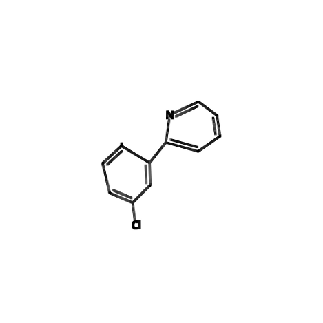 Clc1cc[c]c(-c2ccccn2)c1